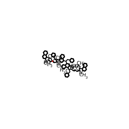 C=C(C)CC1(C)/C(=C\C=C\C2=[N+](C)c3cc(C(Cc4ccccc4)c4cc5c(c6ccccc46)C(C)(Cc4ccccc4)C(/C=C/C=C4/N(C)c6ccc7ccccc7c6C4(C)CC(=C)C)=[N+]5C)c4ccccc4c3C2(C)Cc2ccccc2)N(C)c2ccc3ccccc3c21